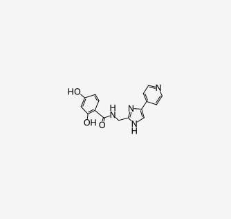 O=C(NCc1nc(-c2ccncc2)c[nH]1)c1ccc(O)cc1O